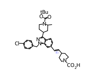 CC1CC(c2nn(Cc3ccc(Cl)cc3)c3cc(/C=C/C4CCN(C(=O)O)CC4)ccc23)CCN1C(=O)OC(C)(C)C